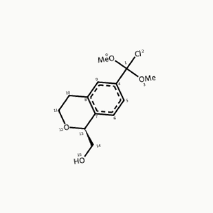 COC(Cl)(OC)c1ccc2c(c1)CCO[C@@H]2CO